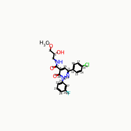 COC[C@H](O)CNC(=O)c1cc(-c2ccc(Cl)cc2)nn(-c2cccc(F)c2)c1=O